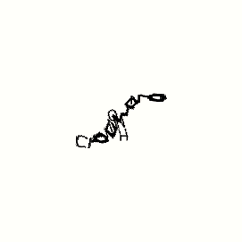 O=C(NCCC1CCN(Cc2ccccc2)CC1)N1CCN(c2ccc(Cl)cc2)CC1